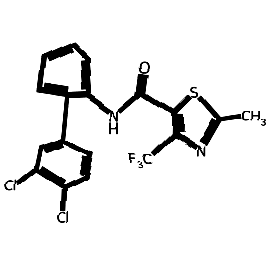 Cc1nc(C(F)(F)F)c(C(=O)Nc2ccccc2-c2ccc(Cl)c(Cl)c2)s1